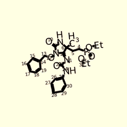 CCOP(=O)(CCC1(C)NC(=O)N(OCc2ccccc2)/C1=N\C(=O)Nc1ccccc1)OCC